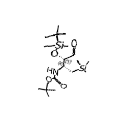 CC(C)(C)OC(=O)N[C@@H](C[Si](C)(C)C)[C@@H](C=O)O[Si](C)(C)C(C)(C)C